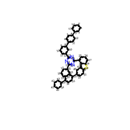 c1ccc(-c2ccc(-c3cccc(-c4nc(-c5ccccc5)nc(-c5cccc6sc7ccc(-c8ccc(-c9ccccc9)cc8)cc7c56)n4)c3)cc2)cc1